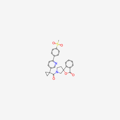 CS(=O)(=O)c1ccc(-c2ccc(C3(C(=O)N4CCC5(C4)OC(=O)c4ccccc45)CC3)cn2)cc1